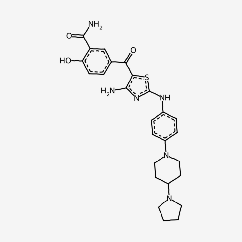 NC(=O)c1cc(C(=O)c2sc(Nc3ccc(N4CCC(N5CCCC5)CC4)cc3)nc2N)ccc1O